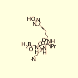 BC(=O)CNC(=O)[C@H](CCCCN(C)C)NC(=O)[C@@H](NC(=O)CCCC#Cc1cnc(O)nc1)C(C)C